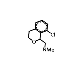 CNCC1OCCc2cccc(Cl)c21